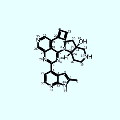 Cc1cc2c(-c3nc(N4CC[C@]5(O)CNCC[C@H]45)c4c(C5=CC=C5)cncc4n3)ccnc2[nH]1